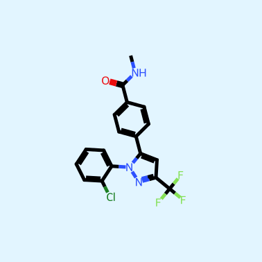 CNC(=O)c1ccc(-c2cc(C(F)(F)F)nn2-c2ccccc2Cl)cc1